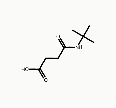 CC(C)(C)NC(=O)CCC(=O)O